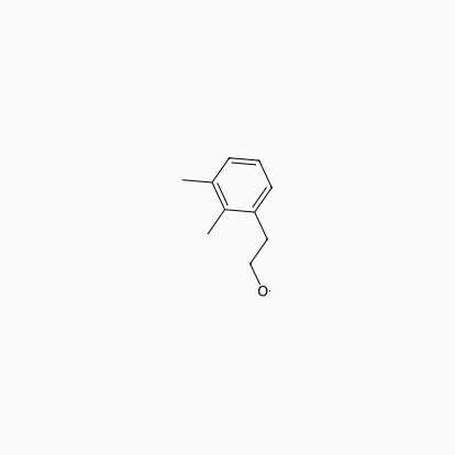 Cc1cccc(CC[O])c1C